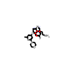 Cc1cc(Oc2cc(F)ccc2C2=C\CC(C)/C=C(CCN)/C=N\2)cc(N2CCOCC2)n1